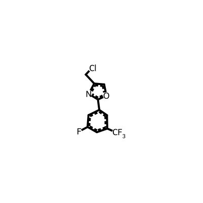 Fc1cc(-c2nc(CCl)co2)cc(C(F)(F)F)c1